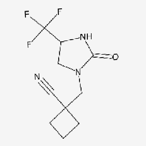 N#CC1(CN2CC(C(F)(F)F)NC2=O)CCC1